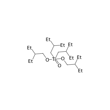 CCC(CC)C[O][Ti](=[O])([CH2]C(CC)CC)([CH2]C(CC)CC)[O]CC(CC)CC